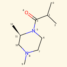 CC(C)C(=O)N1CCN(C)C[C@H]1C